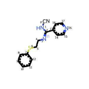 N#CN/C(=N\CCSc1ccccc1)c1ccncc1